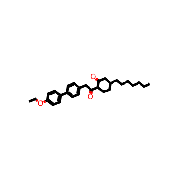 CCCCCCCC1CCC(C(=O)Cc2ccc(-c3ccc(OCC)cc3)cc2)C(=O)C1